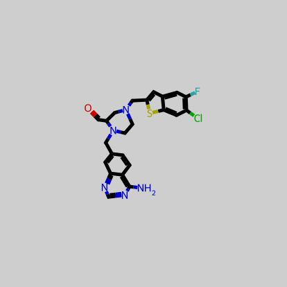 Nc1ncnc2cc(CN3CCN(Cc4cc5cc(F)c(Cl)cc5s4)CC3C=O)ccc12